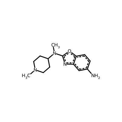 CN1CCC(N(C)c2nc3cc(N)ccc3o2)CC1